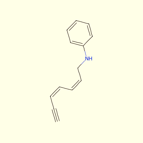 C#C/C=C\C=C/CNc1ccccc1